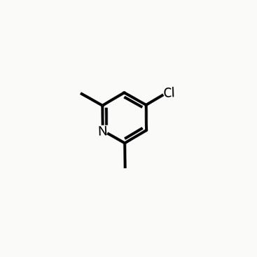 Cc1cc(Cl)cc(C)n1